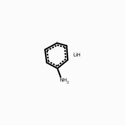 Nc1cc[c]cc1.[LiH]